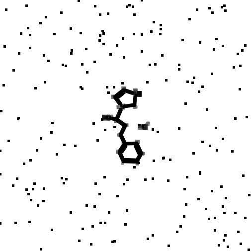 Cl.OC(CCc1ccccc1)N1C=CNC1